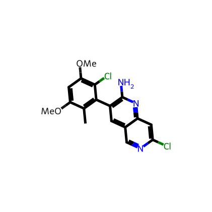 COc1cc(OC)c(Cl)c(-c2cc3cnc(Cl)cc3nc2N)c1C